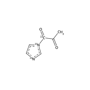 CC(=O)[13C](=O)[15n]1cc[15n]c1